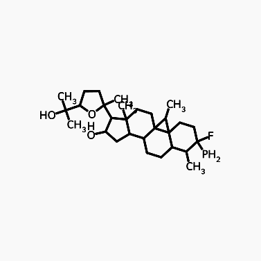 CC1C2CCC3C4CC(O)C(C5(C)CCC(C(C)(C)O)O5)C4(C)CCC34C(C)C24CCC1(F)P